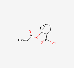 C=CC(=O)OC1CC2CCC1(C(=O)O)C2